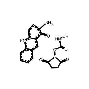 Nc1ccc2[nH]c3ccccc3cc-2c1=O.O=C(NO)ON1C(=O)CCC1=O